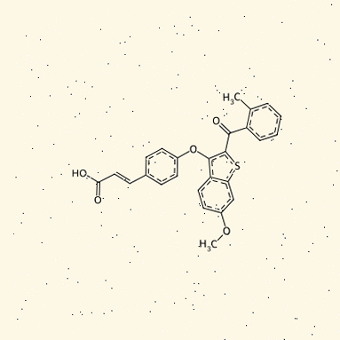 COc1ccc2c(Oc3ccc(/C=C/C(=O)O)cc3)c(C(=O)c3ccccc3C)sc2c1